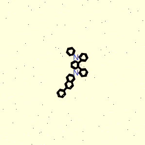 c1ccc(-c2ccc3cc(-n4c5ccccc5c5c6c7ccccc7n(-c7ccccc7)c6ccc54)ccc3c2)cc1